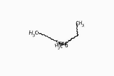 CCCCCCCC/C=C\CCCCCCCC(=O)NCC(C)OC(=O)CSCCCCCCCCCCCCCC